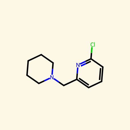 Clc1cccc(CN2CCCCC2)n1